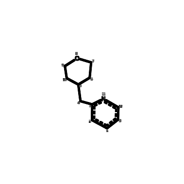 c1ccc(CC2CCOCC2)nc1